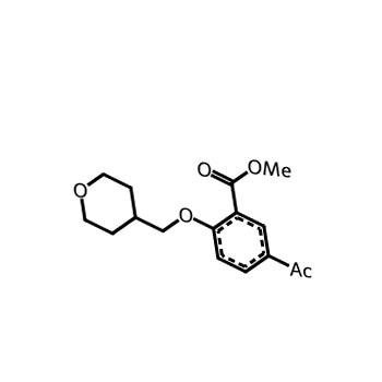 COC(=O)c1cc(C(C)=O)ccc1OCC1CCOCC1